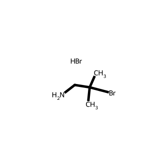 Br.CC(C)(Br)CN